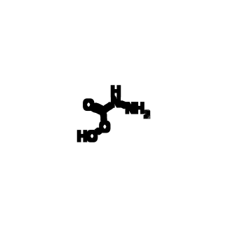 NNC(=O)OO